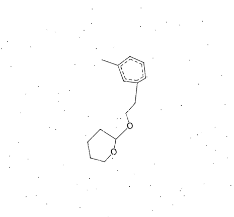 Cc1cccc(CCOC2CCCCO2)c1